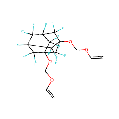 C=COCOC12C(F)(F)C3(F)C(F)(F)C(F)(C1(F)F)C(F)(F)C(OCOC=C)(C3(F)F)C2(F)F